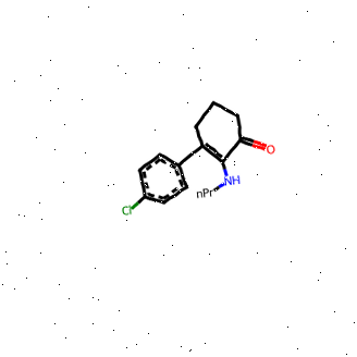 CCCNC1=C(c2ccc(Cl)cc2)CCCC1=O